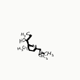 CCC(O)C1=NC(CN(C)C)=CC[C@@H]1C